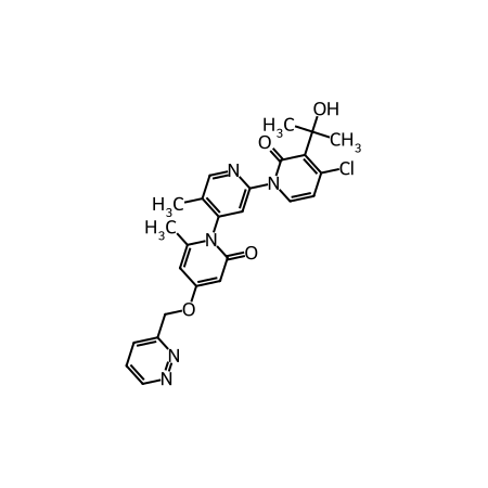 Cc1cnc(-n2ccc(Cl)c(C(C)(C)O)c2=O)cc1-n1c(C)cc(OCc2cccnn2)cc1=O